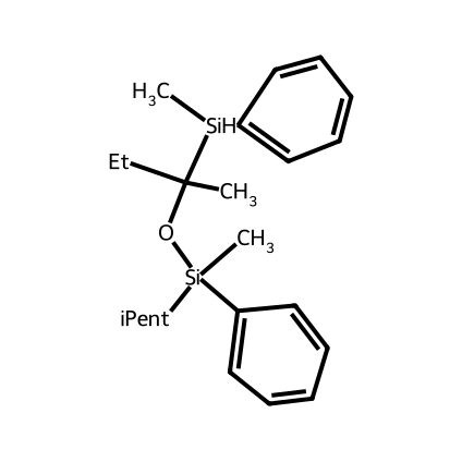 CCCC(C)[Si](C)(OC(C)(CC)[SiH](C)c1ccccc1)c1ccccc1